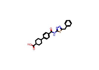 O=C(Nc1nnc(Cc2ccccc2)s1)c1ccc(C2CCC(C(=O)O)CC2)cc1